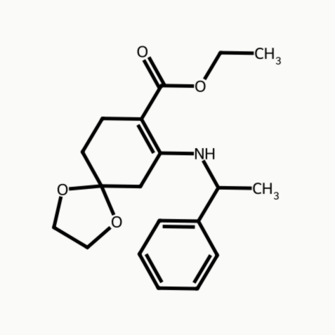 CCOC(=O)C1=C(NC(C)c2ccccc2)CC2(CC1)OCCO2